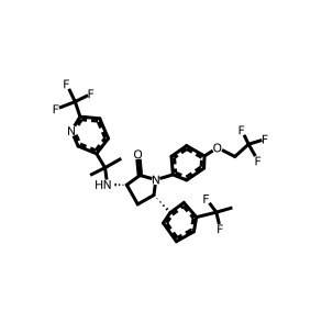 CC(F)(F)c1cccc([C@@H]2C[C@H](NC(C)(C)c3ccc(C(F)(F)F)nc3)C(=O)N2c2ccc(OCC(F)(F)F)cc2)c1